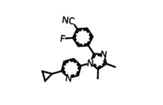 Cc1nc(-c2ccc(C#N)c(F)c2)n(-c2ccc(C3CC3)nc2)c1C